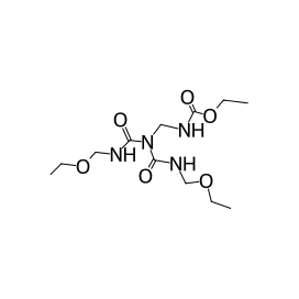 CCOCNC(=O)N(CNC(=O)OCC)C(=O)NCOCC